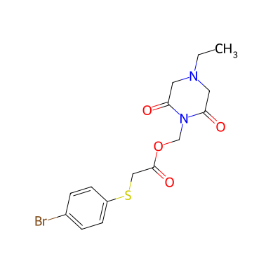 CCN1CC(=O)N(COC(=O)CSc2ccc(Br)cc2)C(=O)C1